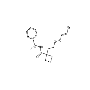 C[C@@H](NC(=O)C1(CCOOC=CBr)CCC1)c1ccccc1